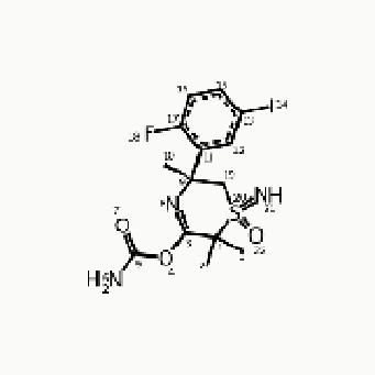 CC1(C)C(OC(N)=O)=N[C@](C)(c2cc(I)ccc2F)CS1(=N)=O